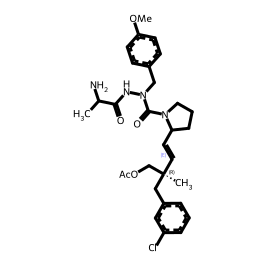 COc1ccc(CN(NC(=O)C(C)N)C(=O)N2CCCC2/C=C/[C@](C)(COC(C)=O)Cc2cccc(Cl)c2)cc1